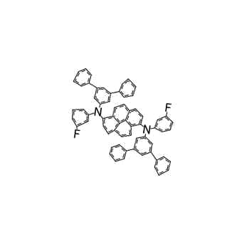 Fc1cccc(N(c2cc(-c3ccccc3)cc(-c3ccccc3)c2)c2ccc3ccc4c(N(c5cccc(F)c5)c5cc(-c6ccccc6)cc(-c6ccccc6)c5)ccc5ccc2c3c54)c1